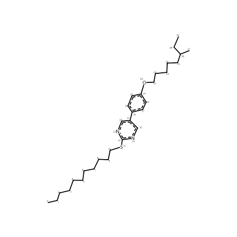 CCCCCCCCCCCSc1ncc(-c2ccc(OCCCCCC(C)CC)cc2)cn1